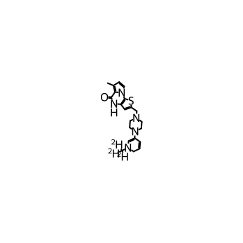 [2H]C([2H])([2H])N1C=C(N2CCN(Cc3cc4[nH]c(=O)c5c(C)ccn5c4s3)CC2)C=CC1